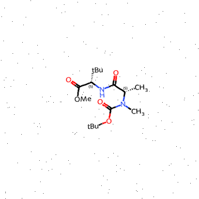 COC(=O)[C@@H](NC(=O)[C@H](C)N(C)C(=O)OC(C)(C)C)C(C)(C)C